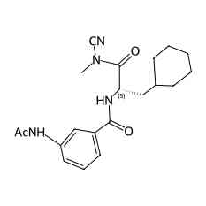 CC(=O)Nc1cccc(C(=O)N[C@@H](CC2CCCCC2)C(=O)N(C)C#N)c1